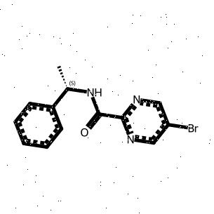 C[C@H](NC(=O)c1ncc(Br)cn1)c1ccccc1